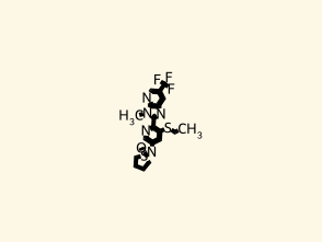 CCSc1cc(N=S2(=O)CCCC2)cnc1-c1nc2cc(C(F)(F)F)cnc2n1C